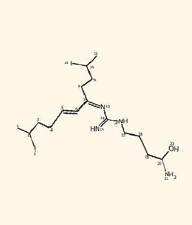 CC(I)CC/C=C/C(CCC(C)I)=N\C(=N)NCCCC(N)O